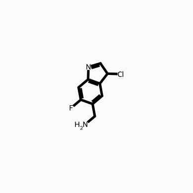 NCc1cc2c(cc1F)N=CC2Cl